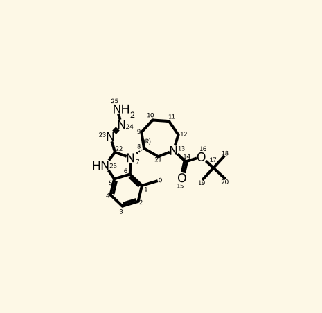 Cc1cccc2c1N([C@@H]1CCCCN(C(=O)OC(C)(C)C)C1)C(N=NN)N2